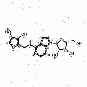 OC[C@H]1O[C@@H](n2cnc3c(NCc4occ(O)c4O)ncnc32)[C@@H](O)[C@@H]1O